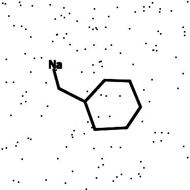 [Na][CH2]C1CCCCC1